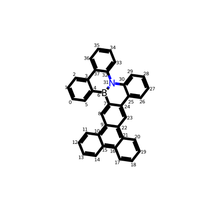 c1ccc2c(c1)B1c3cc4c5ccccc5c5ccccc5c4cc3-c3ccccc3N1c1ccccc1-2